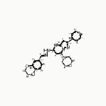 C(=N\Nc1cc(N2CCOCC2)n2nc(-c3ccncc3)cc2n1)/c1ccc2c(c1)OCCO2